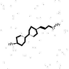 CCCOC/C=C/[C@H]1CC[C@H]([C@H]2CC[C@H](CCC)CC2)CC1